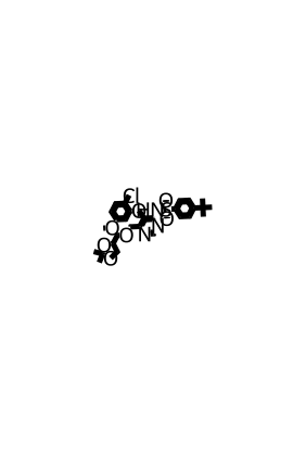 COc1ccc(Cl)c(Oc2c(COCC3COC(C)(C)O3)ncnc2NS(=O)(=O)c2ccc(C(C)(C)C)cc2)c1